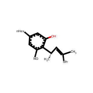 CCCCCCc1cc(O)c([C@@H](C)/C=C(/C)CCC)c(N=O)c1